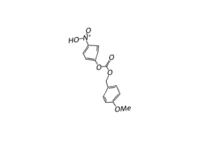 COc1ccc(COC(=O)Oc2ccc([N+](=O)O)cc2)cc1